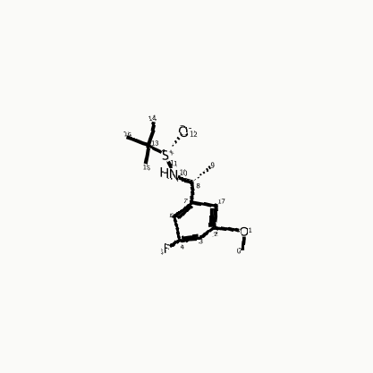 COc1cc(F)cc([C@@H](C)N[S@@+]([O-])C(C)(C)C)c1